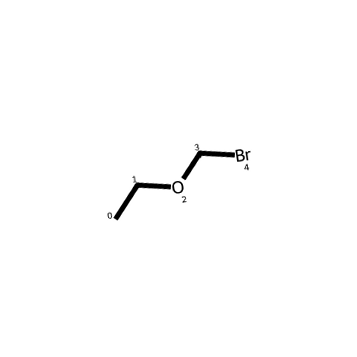 CCO[CH]Br